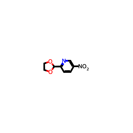 O=[N+]([O-])c1ccc(C2OCCO2)nc1